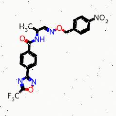 CC(C=NOCc1ccc([N+](=O)[O-])cc1)NC(=O)c1ccc(-c2noc(C(F)(F)F)n2)cc1